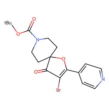 CC(C)(C)OC(=O)N1CCC2(CC1)OC(c1ccncc1)=C(Br)C2=O